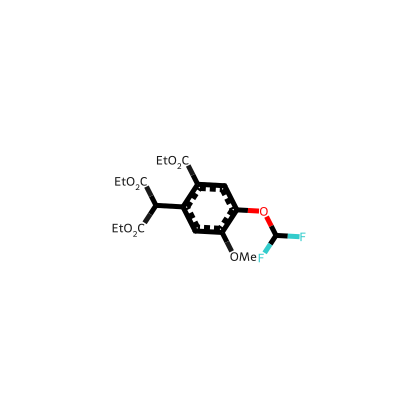 CCOC(=O)c1cc(OC(F)F)c(OC)cc1C(C(=O)OCC)C(=O)OCC